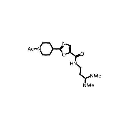 CNC(CCNC(=O)c1cnc(C2CCN(C(C)=O)CC2)o1)NC